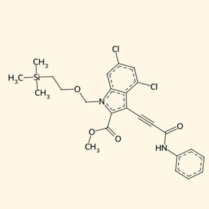 COC(=O)c1c(C#CC(=O)Nc2ccccc2)c2c(Cl)cc(Cl)cc2n1COCC[Si](C)(C)C